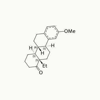 CC[C@]12CC[C@@H]3c4cc(OC)[c]cc4CC[C@H]3[C@@H]1CCCC2=O